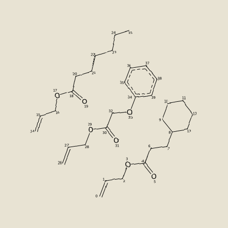 C=CCOC(=O)CCC1CCCCC1.C=CCOC(=O)CCCCCC.C=CCOC(=O)COc1ccccc1